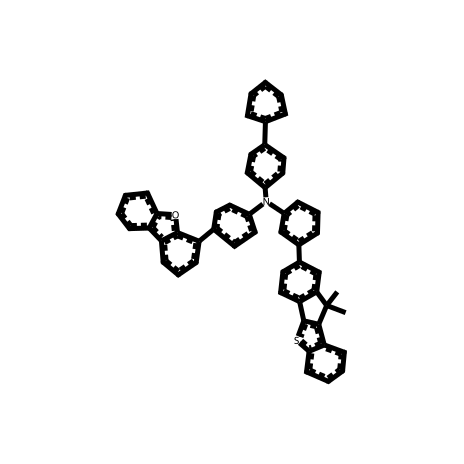 CC1(C)c2cc(-c3cccc(N(c4ccc(-c5ccccc5)cc4)c4ccc(-c5cccc6c5oc5ccccc56)cc4)c3)ccc2-c2sc3ccccc3c21